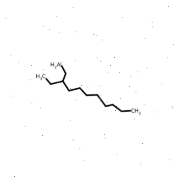 CCCCCCCCC(CC)[CH2][AlH2]